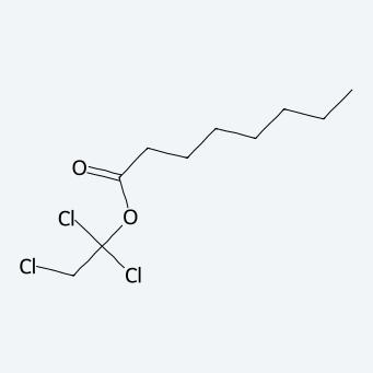 CCCCCCCC(=O)OC(Cl)(Cl)CCl